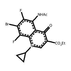 CCOC(=O)c1cn(C2CC2)c2c(F)c(Br)c(F)c(NC(C)=O)c2c1=O